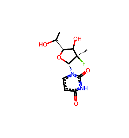 CC(O)[C@H]1O[C@@H](n2ccc(=O)[nH]c2=O)[C@](C)(F)C1O